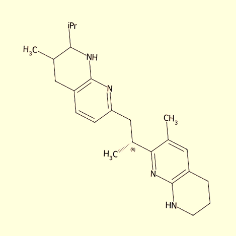 Cc1cc2c(nc1[C@H](C)Cc1ccc3c(n1)NC(C(C)C)C(C)C3)NCCC2